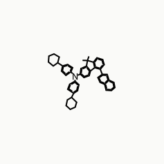 CC1(C)c2cc(N(c3ccc(C4CCCCC4)cc3)c3ccc(C4CCCCC4)cc3)ccc2-c2c(-c3ccc4ccccc4c3)cccc21